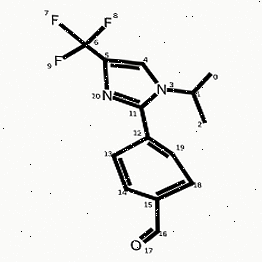 CC(C)n1cc(C(F)(F)F)nc1-c1ccc(C=O)cc1